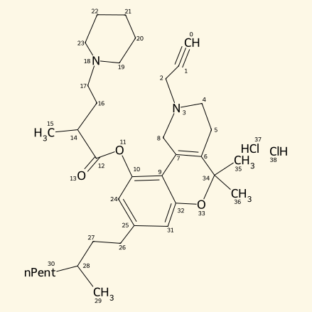 C#CCN1CCC2=C(C1)c1c(OC(=O)C(C)CCN3CCCCC3)cc(CCC(C)CCCCC)cc1OC2(C)C.Cl.Cl